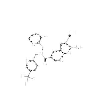 C#Cc1cc2cc(C(=O)N(Cc3ccc(C(F)(F)F)cn3)Cc3ncccc3F)cnc2nc1N